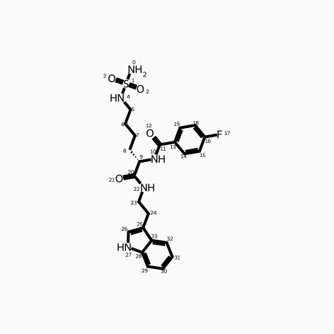 NS(=O)(=O)NCCCC[C@H](NC(=O)c1ccc(F)cc1)C(=O)NCCc1c[nH]c2ccccc12